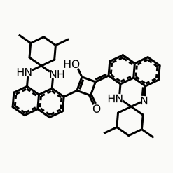 CC1CC(C)CC2(C1)N=c1cccc3cc/c(=C4/C(=O)C(c5ccc6cccc7c6c5NC5(CC(C)CC(C)C5)N7)=C4O)c(c13)N2